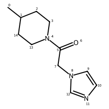 CC1CCN(C(=O)Cn2ccnc2)CC1